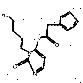 N#CCCCCn1c(NC(=O)Cc2ccccc2)ccnc1=O